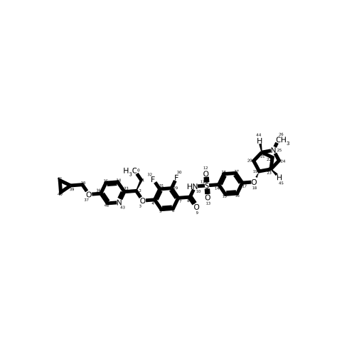 CC[C@@H](Oc1ccc(C(=O)NS(=O)(=O)c2ccc(O[C@@H]3C[C@H]4C[C@@H]3CN4C)cc2)c(F)c1F)c1ccc(OCC2CC2)cn1